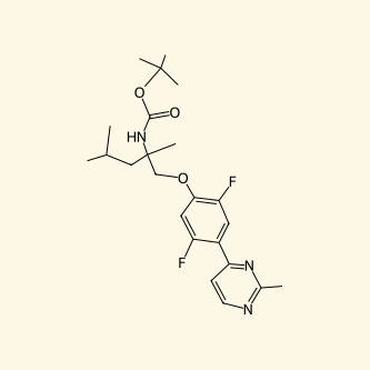 Cc1nccc(-c2cc(F)c(OCC(C)(CC(C)C)NC(=O)OC(C)(C)C)cc2F)n1